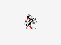 C=C(C)[C@@H]1CC[C@]2(C#Cc3cc(C)ccc3C(=O)O)CC[C@]3(C)C(CCC4[C@@]5(C)CC[C@H](OC(=O)CC(C)(C)C(=O)O)C(C)(C)C5CC[C@]43C)C12